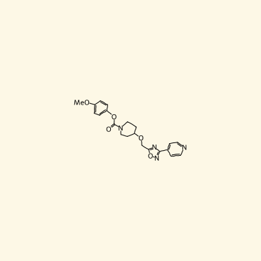 COc1ccc(OC(=O)N2CCC(OCc3nc(-c4ccncc4)no3)CC2)cc1